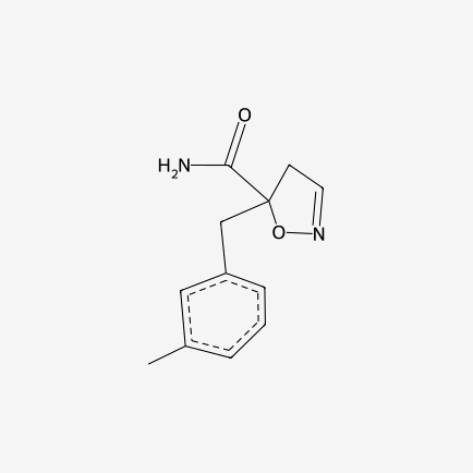 Cc1cccc(CC2(C(N)=O)CC=NO2)c1